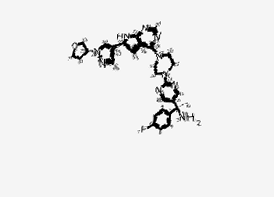 C[C@](N)(c1ccc(F)cc1)c1cnc(N2CCN(c3ncnc4[nH]c(-c5cnn([C@@H]6CCOC6)c5)cc34)CC2)nc1